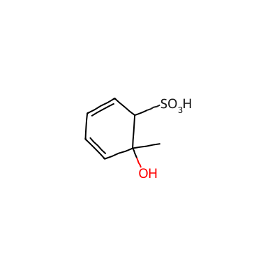 CC1(O)C=CC=CC1S(=O)(=O)O